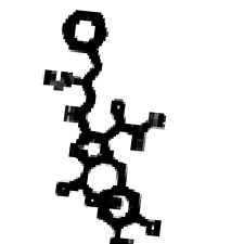 CCNC(=O)c1c(NC[C@H](N)Cc2ccccc2)nc(C(=O)OC)n1Cc1ccc(O)c(Cl)c1